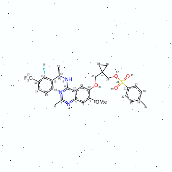 COc1cc2nc(C)nc(N[C@H](C)c3cccc(C(F)(F)F)c3F)c2cc1OCC1(COS(=O)(=O)c2ccc(C)cc2)CC1